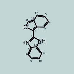 c1ccc2c(-c3nc4ccccc4[nH]3)occ2c1